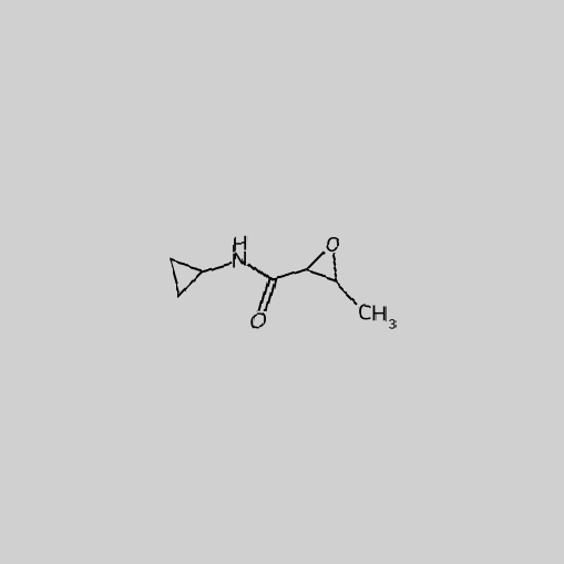 CC1OC1C(=O)NC1CC1